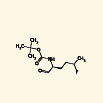 CC(F)CC[C@@H](C=O)NC(=O)OC(C)(C)C